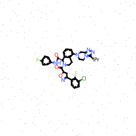 CC(C)c1nnc2n1CCN(c1cccc3c1CCN(C(=O)C1CC(c4cccc(Cl)c4F)=NO1)[C@H]3C(=O)Nc1ccc(F)cc1)C2